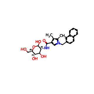 Cc1c(C(=O)N[C@H]2C(O)O[C@H](CO)[C@@H](O)C2O)cn(Cc2ccc3ccccc3c2)c1C